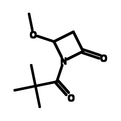 COC1CC(=O)N1C(=O)C(C)(C)C